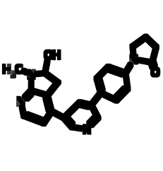 CN1c2nccc(-c3cncc(-c4ccc(N5CCCC5=O)cc4)c3)c2CC1O